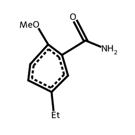 CCc1ccc(OC)c(C(N)=O)c1